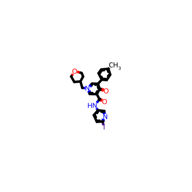 Cc1ccc(-c2cn(CC3CCOCC3)cc(C(=O)Nc3ccc(I)nc3)c2=O)cc1